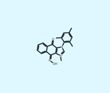 Cc1cc(C)c(-n2c[n+](C)c3c2C(=O)c2ccccc2/C3=N/O)c(C)c1